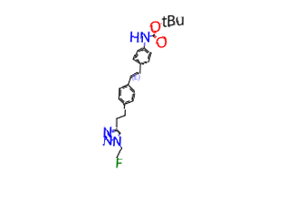 CC(C)(C)OC(=O)Nc1ccc(/C=C/c2ccc(CCc3cn(CCF)nn3)cc2)cc1